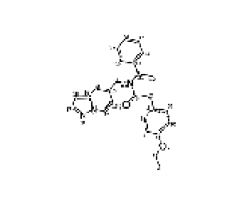 CCOc1ccc(CC(=O)N(Cc2ccn3nccc3c2)[C@H](C)c2ccccc2)cc1